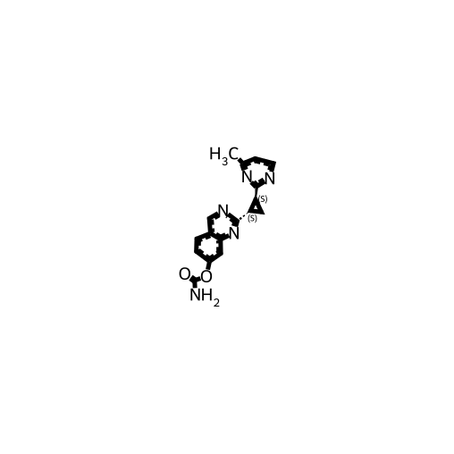 Cc1ccnc([C@H]2C[C@@H]2c2ncc3ccc(OC(N)=O)cc3n2)n1